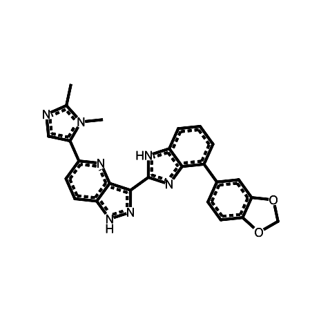 Cc1ncc(-c2ccc3[nH]nc(-c4nc5c(-c6ccc7c(c6)OCO7)cccc5[nH]4)c3n2)n1C